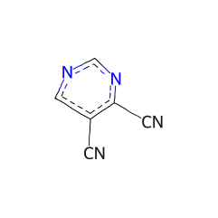 N#Cc1cncnc1C#N